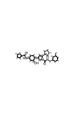 Cc1cccc(CNC(=O)n2nc(-c3ccc(NC(=O)c4cccs4)cc3O)cc2C2CCCC2)c1